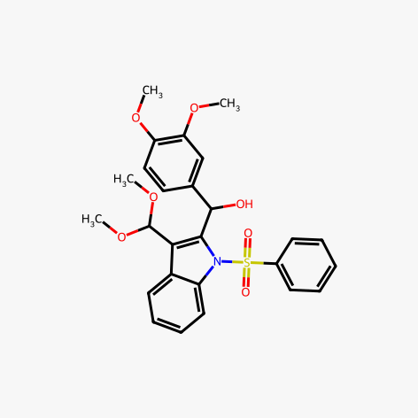 COc1ccc(C(O)c2c(C(OC)OC)c3ccccc3n2S(=O)(=O)c2ccccc2)cc1OC